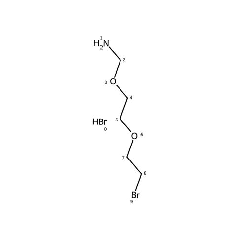 Br.NCOCCOCCBr